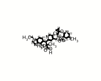 CCn1nnc2c(C)c(C(c3cc(CN4CC5(CC5)Oc5ncc(C)cc5S4(=O)=O)c(C)cn3)C(C)(C)C(=O)O)ccc21